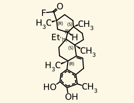 CC[C@@]12CC[C@]3(C)C(=CCc4c3cc(O)c(O)c4C)[C@@]1(C)CC[C@@]1(C)CC[C@@](C)(C(=O)F)C[C@H]12